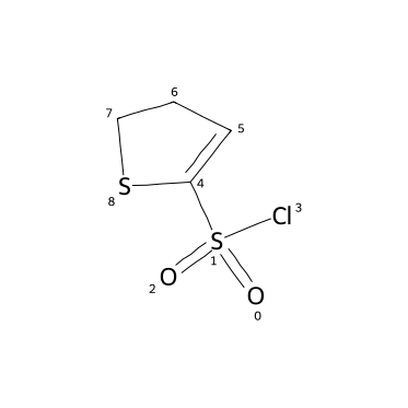 O=S(=O)(Cl)C1=CCCS1